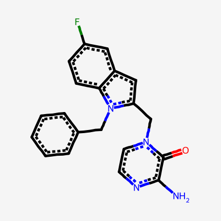 Nc1nccn(Cc2cc3cc(F)ccc3n2Cc2ccccc2)c1=O